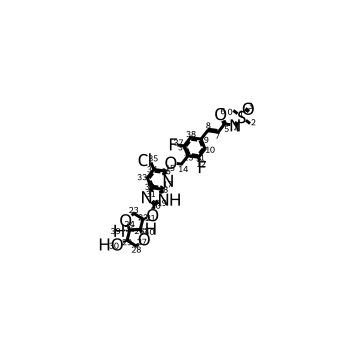 CS(C)(=O)=NC(=O)/C=C/c1cc(F)c(COc2nc3[nH]c(O[C@@H]4CO[C@H]5[C@@H]4OC[C@H]5O)nc3cc2Cl)c(F)c1